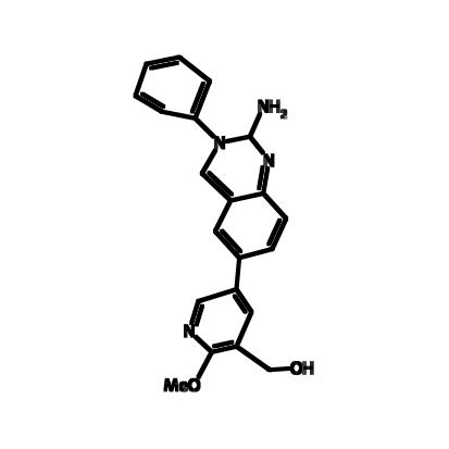 COc1ncc(-c2ccc3c(c2)=CN(c2ccccc2)C(N)N=3)cc1CO